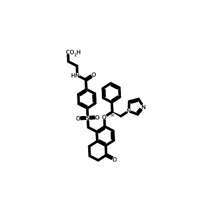 O=C(O)CCNC(=O)c1ccc(S(=O)(=O)Cc2c(O[C@H](Cn3ccnc3)c3ccccc3)ccc3c2CCCC3=O)cc1